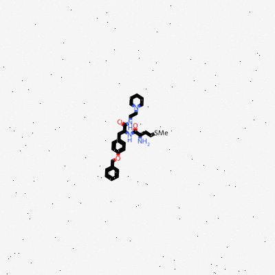 CSCCC(N)C(=O)NC(Cc1ccc(OCc2ccccc2)cc1)C(=O)NCCN1CCCCC1